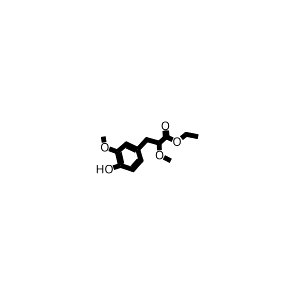 CCOC(=O)C(Cc1ccc(O)c(OC)c1)OC